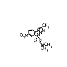 CN(C)C=NS(=O)(=O)c1cc([N+](=O)[O-])ccc1-n1cc(C(F)(F)F)nn1